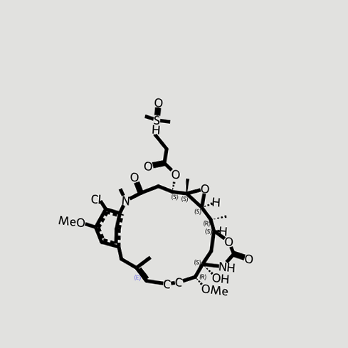 COc1cc2cc(c1Cl)N(C)C(=O)C[C@H](OC(=O)CC[SH](C)(C)=O)[C@]1(C)O[C@H]1[C@H](C)[C@@H]1C[C@@](O)(NC(=O)O1)[C@H](OC)CC/C=C(\C)C2